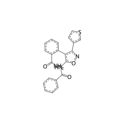 NC(=O)c1ccccc1-c1c(-c2ccsc2)noc1NC(=O)c1ccccc1